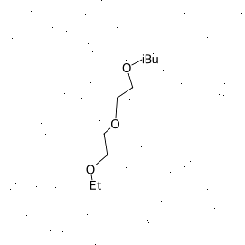 CCOCCOCCOC(C)CC